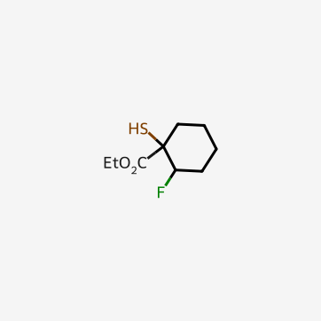 CCOC(=O)C1(S)CCCCC1F